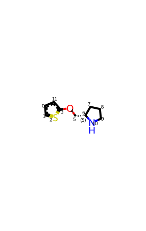 c1csc(OC[C@@H]2CCCN2)c1